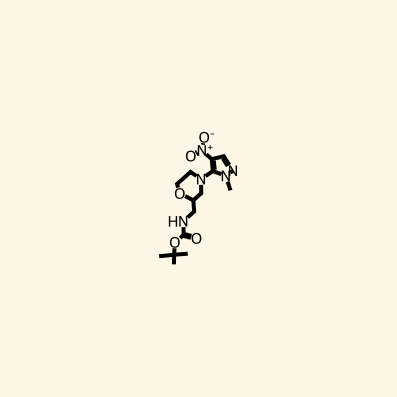 Cn1ncc([N+](=O)[O-])c1N1CCOC(CNC(=O)OC(C)(C)C)C1